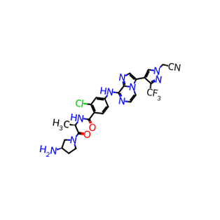 C[C@@H](NC(=O)c1ccc(Nc2nccn3c(-c4cn(CC#N)nc4C(F)(F)F)cnc23)cc1Cl)C(=O)N1CC[C@@H](N)C1